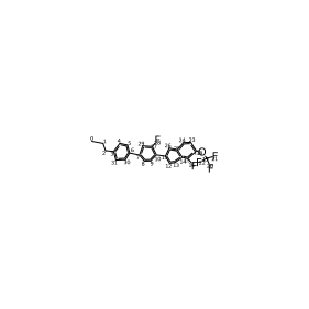 CCCc1ccc(-c2ccc(-c3ccc4c(F)c(OC(F)(F)F)ccc4c3)c(F)c2)cc1